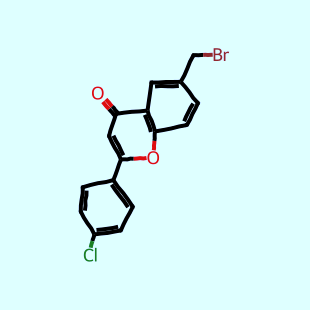 O=c1cc(-c2ccc(Cl)cc2)oc2ccc(CBr)cc12